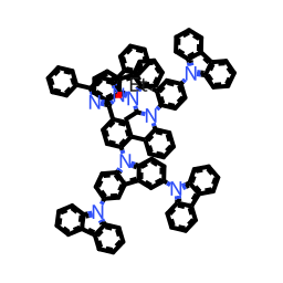 CCc1cc(-n2c3ccccc3c3ccccc32)ccc1N(c1ccccc1-c1cc(-c2nc(-c3ccccc3)cc(-c3ccccc3)n2)ccc1-n1c2ccc(-n3c4ccccc4c4ccccc43)cc2c2cc(-n3c4ccccc4c4ccccc43)ccc21)C(C)n1c2ccccc2c2ccccc21